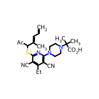 C=C/C=C(\C)C(Sc1nc(N2CCN(C(C)(C)C(=O)O)CC2)c(C#N)c(CC)c1C#N)C(C)=O